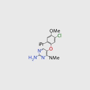 CNc1nc(N)ncc1Oc1cc(Cl)c(OC)cc1C(C)C